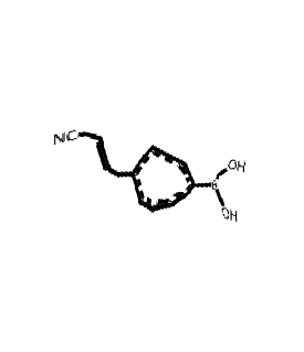 N#C/C=C/c1ccc(B(O)O)cc1